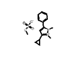 COS(=O)(=O)[O-].Cn1c(-c2ccccc2)cc(C2CC2)[n+]1C